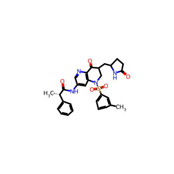 Cc1cccc(S(=O)(=O)N2CC(CC3CCC(=O)N3)C(=O)c3ncc(NC(=O)[C@@H](C)c4ccccc4)cc32)c1